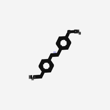 C=Cc1ccc(/C=C/c2ccc(OC)cc2)cc1